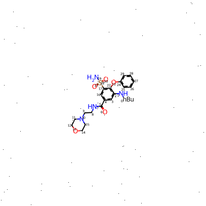 CCCCNc1cc(C(=O)NCCN2CCOCC2)cc(S(N)(=O)=O)c1Oc1ccccc1